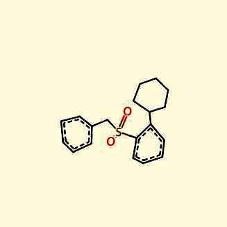 O=S(=O)(Cc1ccccc1)c1ccccc1C1CCCCC1